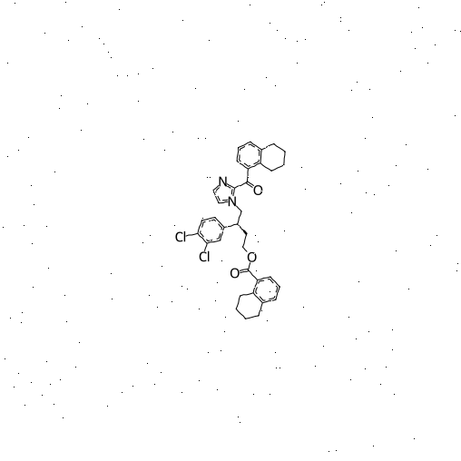 O=C(OCC[C@H](Cn1ccnc1C(=O)c1cccc2c1CCCC2)c1ccc(Cl)c(Cl)c1)c1cccc2c1CCCC2